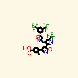 COc1ncc(-c2ccc(C(=O)O)cc2C)cc1-c1cnc(C(F)(F)F)cc1CC1=NO[C@H](c2cc(C(F)(F)F)cc(C(F)(F)F)c2)C1